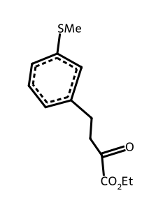 CCOC(=O)C(=O)CCc1cccc(SC)c1